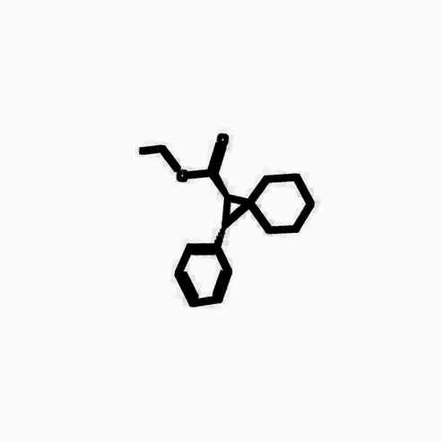 CCOC(=O)[C@@H]1[C@@H](c2ccccc2)C12CCCCC2